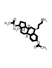 CC(=O)Oc1ccc2c(c1)[C@H](CCCN)C[C@@H]1[C@@H]2CC[C@]2(C)C(OC(C)=O)CC[C@@H]12